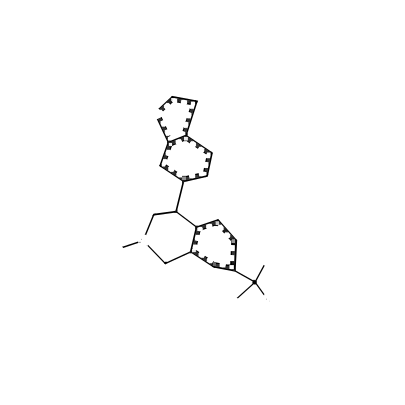 CN1Cc2cc(C(C)(C)N)ccc2C(c2ccc3ccsc3c2)C1